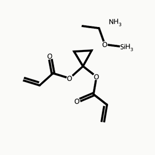 C=CC(=O)OC1(OC(=O)C=C)CC1.CCO[SiH3].N